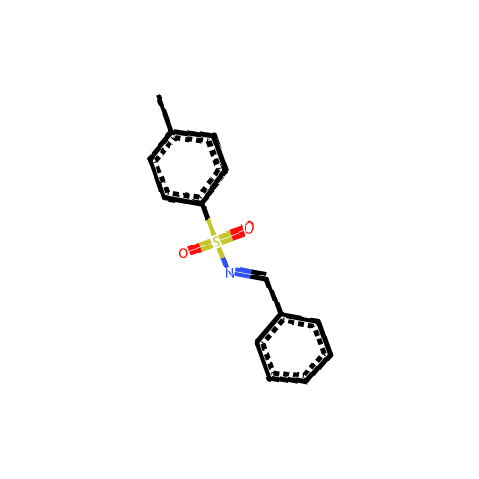 Cc1ccc(S(=O)(=O)N=Cc2ccccc2)cc1